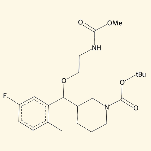 COC(=O)NCCOC(c1cc(F)ccc1C)C1CCCN(C(=O)OC(C)(C)C)C1